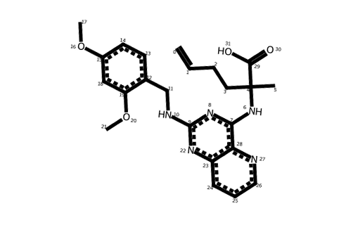 C=CCCC(C)(Nc1nc(NCc2ccc(OC)cc2OC)nc2cccnc12)C(=O)O